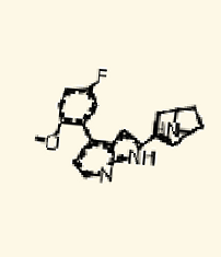 COc1ccc(F)cc1-c1ccnc2[nH]c(C3=CC4CCC(C3)N4)cc12